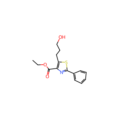 CCOC(=O)c1nc(-c2ccccc2)sc1CCCO